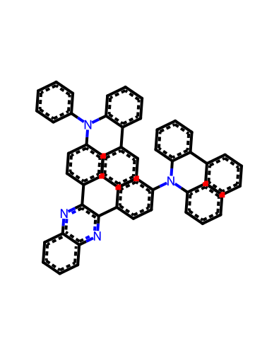 c1ccc(-c2ccccc2N(c2ccccc2)c2ccc(-c3nc4ccccc4nc3-c3ccc(N(c4ccccc4)c4ccccc4-c4ccccc4)cc3)cc2)cc1